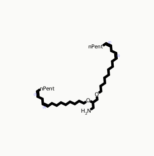 CCCCC/C=C\C/C=C\CCCCCCCCOCC(CN)OCCCCCCCC/C=C\C/C=C\CCCCC